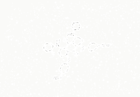 Cc1ccccc1Nc1ccc(Sc2ccc(C(C)(C)C)cc2)c2c1C(=O)c1c(Nc3ccccc3C)ccc(Sc3ccc(C(C)(C)C)cc3)c1C2=O